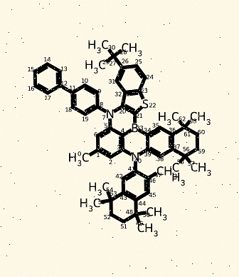 Cc1cc2c3c(c1)N(c1ccc(-c4ccccc4)cc1)c1c(sc4ccc(C(C)(C)C)cc14)B3c1cc3c(cc1N2c1cc2c(cc1C)C(C)(C)CCC2(C)C)C(C)(C)CCC3(C)C